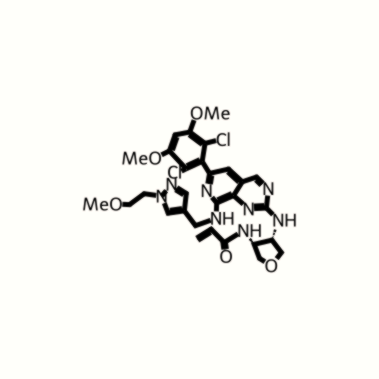 C=CC(=O)N[C@H]1COC[C@H]1Nc1ncc2cc(-c3c(Cl)c(OC)cc(OC)c3Cl)nc(NCc3cnn(CCOC)c3)c2n1